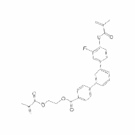 C=C(C)C(=O)OCCOC(=O)c1ccc(-c2cccc(-c3ccc(OC(=O)C(=C)C)c(F)c3)c2)cc1